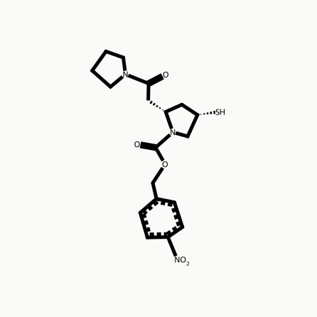 O=C(C[C@@H]1C[C@H](S)CN1C(=O)OCc1ccc([N+](=O)[O-])cc1)N1CCCC1